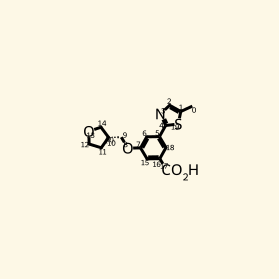 Cc1cnc(-c2cc(OC[C@@H]3CCOC3)cc(C(=O)O)c2)s1